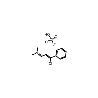 C[N+](C)=CC=C(Cl)c1ccccc1.[O-][Cl+3]([O-])([O-])O